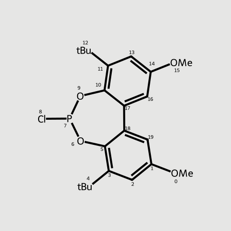 COc1cc(C(C)(C)C)c2op(Cl)oc3c(C(C)(C)C)cc(OC)cc3c2c1